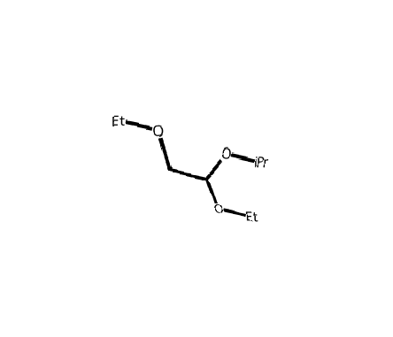 [CH2]COCC(OCC)OC(C)C